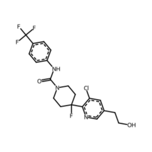 O=C(Nc1ccc(C(F)(F)F)cc1)N1CCC(F)(c2ncc(CCO)cc2Cl)CC1